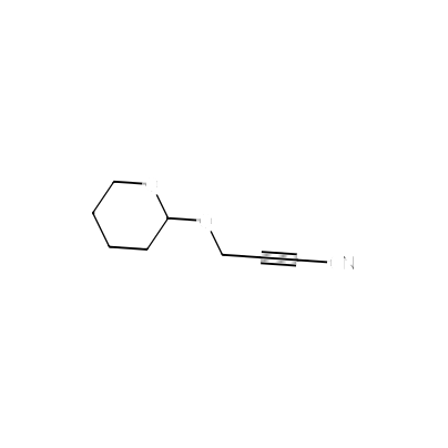 N#CC#CCOC1CCCCO1